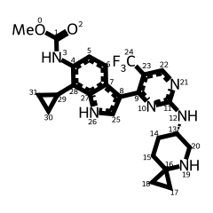 COC(=O)Nc1ccc2c(-c3nc(N[C@H]4CCC5(CC5)NC4)ncc3C(F)(F)F)c[nH]c2c1C1CC1